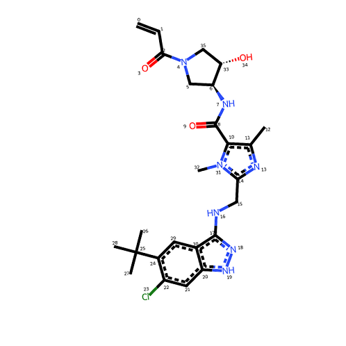 C=CC(=O)N1C[C@H](NC(=O)c2c(C)nc(CNc3n[nH]c4cc(Cl)c(C(C)(C)C)cc34)n2C)[C@@H](O)C1